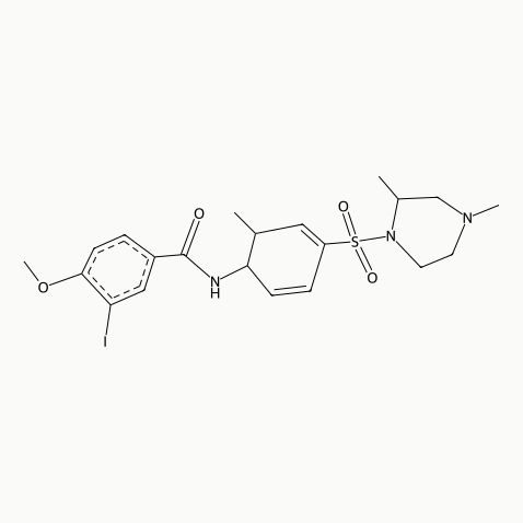 COc1ccc(C(=O)NC2C=CC(S(=O)(=O)N3CCN(C)CC3C)=CC2C)cc1I